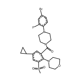 CC(=O)c1ccc(N2CCN(C(=O)c3cc(C4CC4)cc(S(C)(=O)=O)c3N3CCOCC3)CC2)c(F)c1